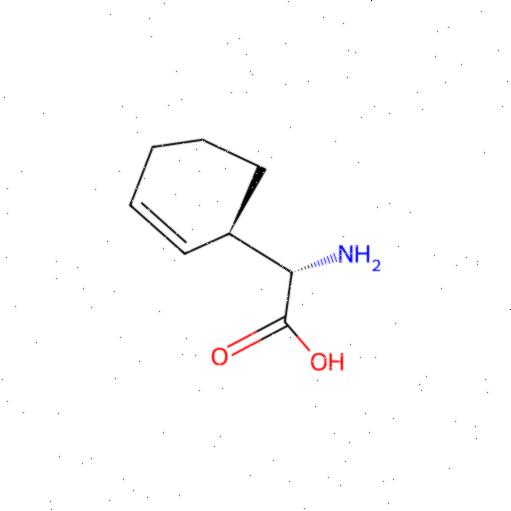 N[C@H](C(=O)O)[C@H]1C=CCCC1